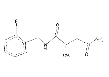 NC(=O)CC(O)C(=O)NCc1ccccc1F